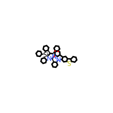 c1ccc(-c2nc(-c3ccccc3-n3c4ccccc4c4cc5c(cc43)sc3ccccc35)nc3c2-c2ccccc2[Si]3(c2ccccc2)c2ccccc2)cc1